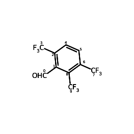 O=Cc1c(C(F)(F)F)ccc(C(F)(F)F)c1C(F)(F)F